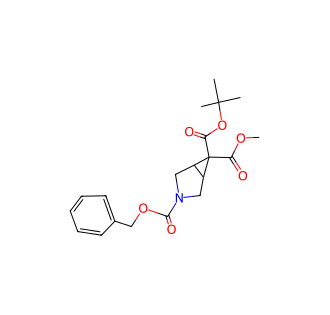 COC(=O)C1(C(=O)OC(C)(C)C)C2CN(C(=O)OCc3ccccc3)CC21